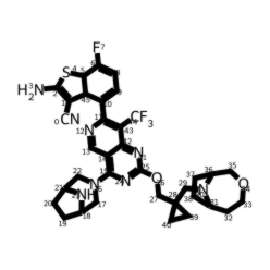 N#CC1=C(N)SC2C(F)=CC=C(c3ncc4c(N5CC6CCC(C5)N6)nc(OCC5(CN6C7CCOCC6CC7)CC5)nc4c3C(F)(F)F)C12